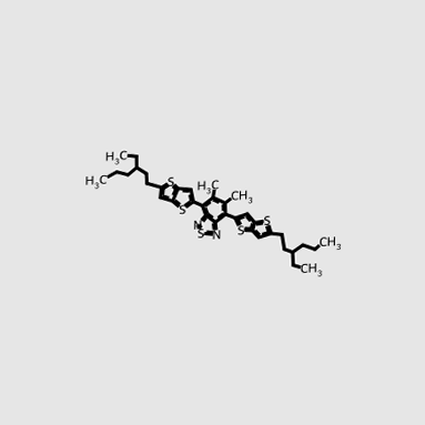 CCCC(CC)CCc1cc2sc(-c3c(C)c(C)c(-c4cc5sc(CCC(CC)CCC)cc5s4)c4nsnc34)cc2s1